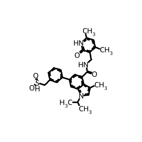 Cc1cc(C)c(CNC(=O)c2cc(-c3cccc(C[SH](=O)=O)c3)cc3c2c(C)cn3C(C)C)c(=O)[nH]1